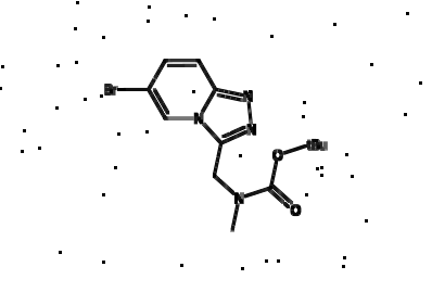 CN(Cc1nnc2ccc(Br)cn12)C(=O)OC(C)(C)C